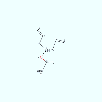 C=CC[SiH](CC=C)OC(C)CCCC